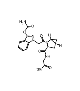 CC(C)(C)C(=O)CNC(=O)[C@@H]1C[C@H]2C[C@H]2N1C(=O)Cn1nc(OC(N)=O)c2ccccc21